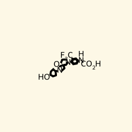 O=C(O)Nc1ccc(N2CCC[C@@]3(CCN(C4CCC(O)CC4)C3=O)C2)c(C(F)(F)F)c1